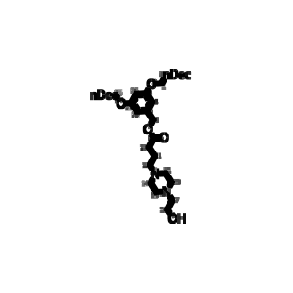 CCCCCCCCCCCOc1cc(COC(=O)CCCN2CCN(CCO)CC2)cc(OCCCCCCCCCC)c1